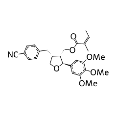 C/C=C(/C)C(=O)OC[C@H]1[C@@H](Cc2ccc(C#N)cc2)CO[C@@H]1c1cc(OC)c(OC)c(OC)c1